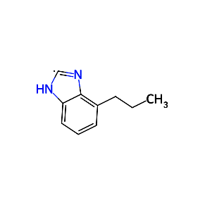 CCCc1cccc2[nH][c]nc12